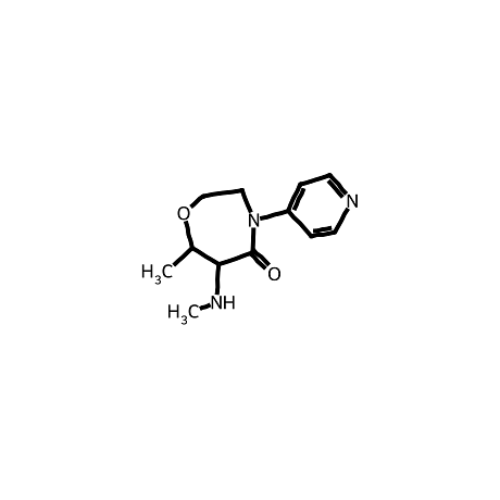 CNC1C(=O)N(c2ccncc2)CCOC1C